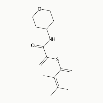 C=C(SC(=C)C(C)=C(C)C)C(=O)NC1CCOCC1